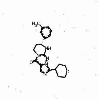 Cc1cccc([C@H]2CCn3c(nn4c(C5CCOCC5)ncc4c3=O)N2)c1